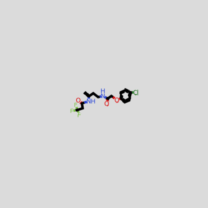 C=C(CCNC(=O)COc1ccc(Cl)cc1)NC(=O)CC(F)(F)F